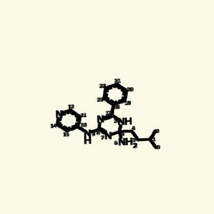 CC(C)CCC1(N)N=C(Nc2ccncc2)N=C(c2ccccc2)N1